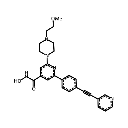 COCCN1CCN(c2cc(C(=O)NO)cc(-c3ccc(C#Cc4cccnc4)cc3)n2)CC1